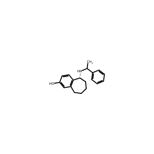 CC(N[C@@H]1CCCCc2cc(O)ccc21)c1ccccc1